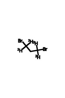 [2H]C([2H])(Br)CC([2H])([2H])Br